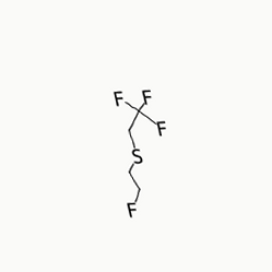 FCCSCC(F)(F)F